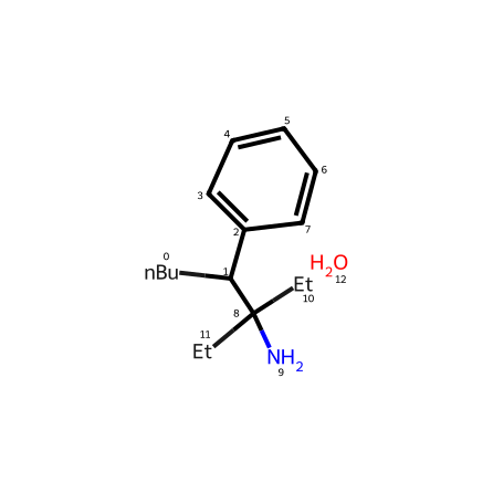 CCCCC(c1ccccc1)C(N)(CC)CC.O